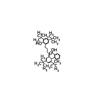 CC(C)(C)C1=CC(=CCCCc2cc(C(C)(C)C)cc(C(C)(C)C)c2O)C(c2ccccc2C(=O)O)C(C(C)(C)C)=C1